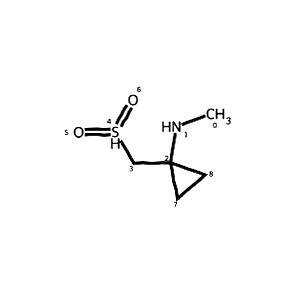 CNC1(C[SH](=O)=O)CC1